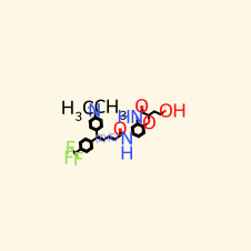 CN(C)c1ccc(/C(=C\C=C\C(=O)Nc2ccc3c(c2)NC(=O)C(CCO)O3)c2ccc(C(F)(F)F)cc2)cc1